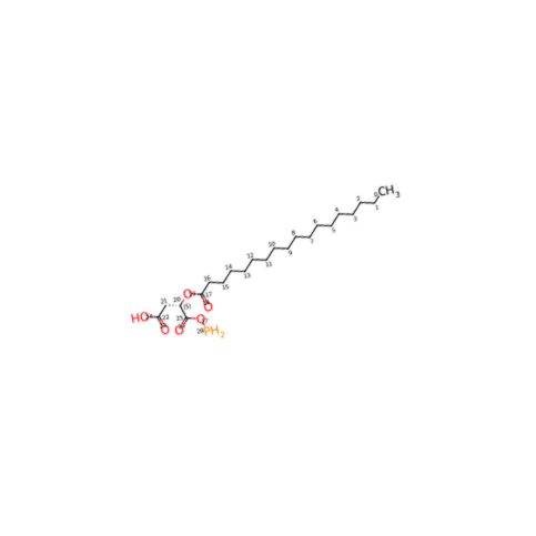 CCCCCCCCCCCCCCCCCC(=O)O[C@@H](CC(=O)O)C(=O)OP